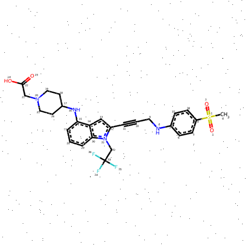 CS(=O)(=O)c1ccc(NCC#Cc2cc3c(NC4CCN(CC(=O)O)CC4)cccc3n2CC(F)(F)F)cc1